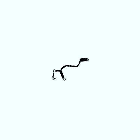 CCC(C)OC(=O)CC[C]=S